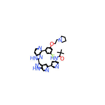 CC(C)(C)C(=O)Nc1cncc(-c2cc3c(-c4nc5c(-c6cc(F)cc(OCCN7CCCC7)c6)nccc5[nH]4)n[nH]c3cn2)c1